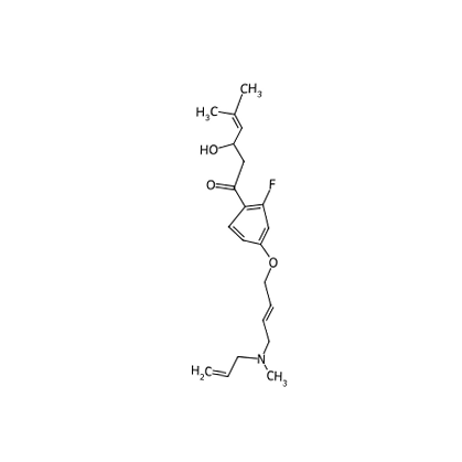 C=CCN(C)CC=CCOc1ccc(C(=O)CC(O)C=C(C)C)c(F)c1